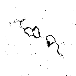 CCC[C@H]1CC[C@H](c2ccc3cc(OC(C)=O)ccc3c2)CC1